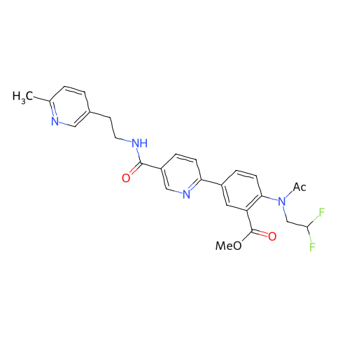 COC(=O)c1cc(-c2ccc(C(=O)NCCc3ccc(C)nc3)cn2)ccc1N(CC(F)F)C(C)=O